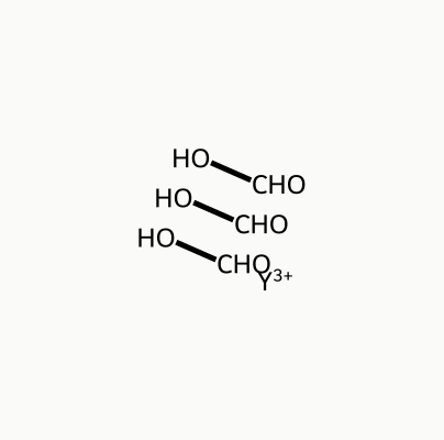 O=[C-]O.O=[C-]O.O=[C-]O.[Y+3]